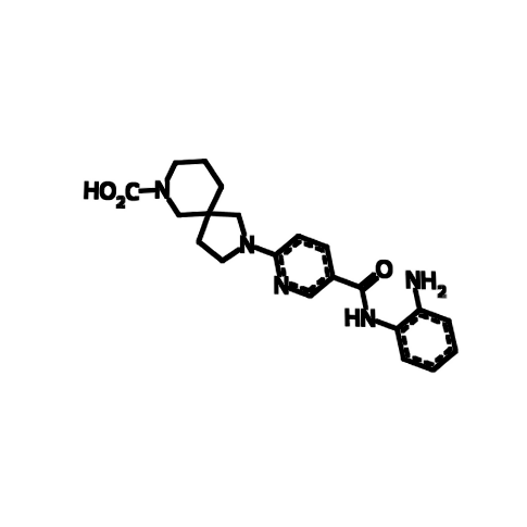 Nc1ccccc1NC(=O)c1ccc(N2CCC3(CCCN(C(=O)O)C3)C2)nc1